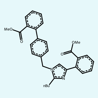 CCCCc1nc(-c2ccccc2C(=O)OC)cn1Cc1ccc(-c2ccccc2C(=O)OC)cc1